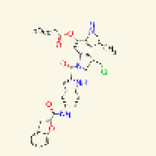 CCCCCCCCCCCC(=O)Oc1cc2c(c3c1NC[C@H]3C)C(CCl)CN2C(=O)c1cc2cc(NC(=O)c3cc4ccccc4o3)ccc2[nH]1